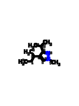 CCC(C)c1cn(C)nc1C(C)C